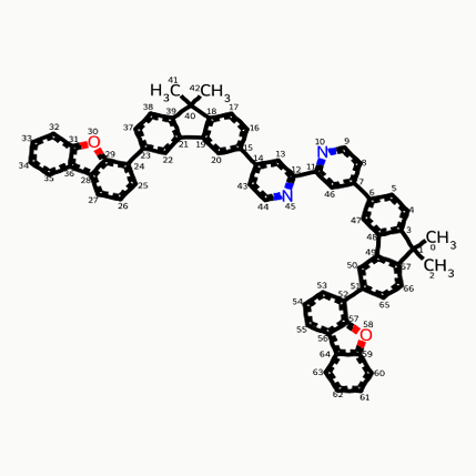 CC1(C)c2ccc(-c3ccnc(-c4cc(-c5ccc6c(c5)-c5cc(-c7cccc8c7oc7ccccc78)ccc5C6(C)C)ccn4)c3)cc2-c2cc(-c3cccc4c3oc3ccccc34)ccc21